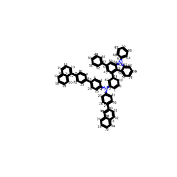 C1=CC(N(c2ccc(-c3ccc(-c4cccc5ccccc45)cc3)cc2)c2ccc(-c3ccc4ccccc4c3)cc2)=CC(c2cc(-c3ccccc3)cc3c2c2ccccc2n3-c2ccccc2)C1